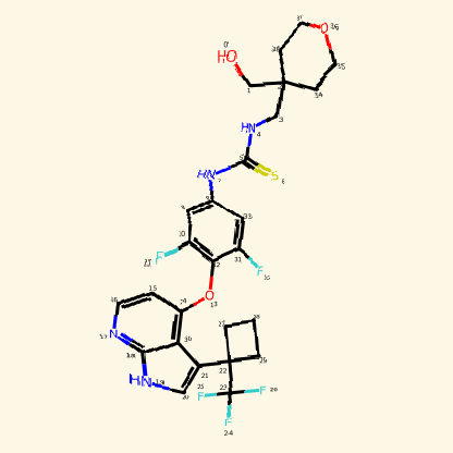 OCC1(CNC(=S)Nc2cc(F)c(Oc3ccnc4[nH]cc(C5(C(F)(F)F)CCC5)c34)c(F)c2)CCOCC1